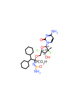 C[C@]1(F)[C@H](n2ccc(N)nc2=O)O[C@](F)(CO[C@@](N=[P+](N)[O-])(C(=O)O)C(C2CCCCC2)C2CCCCC2)[C@H]1O